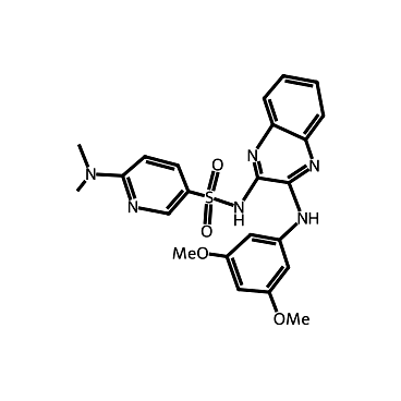 COc1cc(Nc2nc3ccccc3nc2NS(=O)(=O)c2ccc(N(C)C)nc2)cc(OC)c1